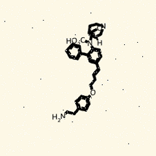 NCCc1ccc(OCCC=Cc2ccc(N(C(=O)O)[C@H]3CN4CCC3CC4)c(-c3ccccc3)c2)cc1